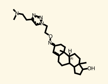 CN(C)CCc1cn(CCON=C2C=C3CCC4C5CCC(O)C5(C)CC[C@H]4C3(C)CC2)nn1